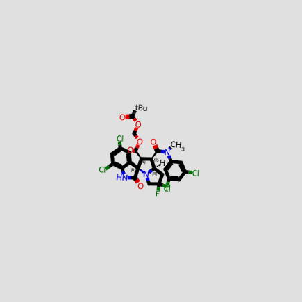 CN(C(=O)[C@H]1[C@H]2CC(F)(F)CN2[C@]2(C(=O)Nc3c(Cl)cc(Cl)cc32)[C@H]1C(=O)OCOC(=O)C(C)(C)C)c1cc(Cl)cc(Cl)c1